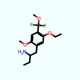 CCOc1cc(CC(N)CC)c(OC)cc1C(F)(F)OC